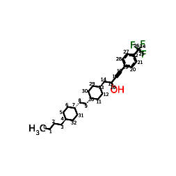 CCCC[C@H]1CC[C@H](CC[C@H]2CC[C@H](CC(O)C#Cc3ccc(C(F)(F)F)cc3)CC2)CC1